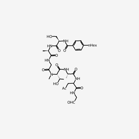 CCCCCCc1ccc(C(=O)N[C@H](CO)C(=O)N[C@H](C)C(=O)NCC(=O)N(C)[C@H](C(=O)N[C@@H](C)C(=O)NC(CC(C)=O)C(=O)NCC=O)C(C)O)cc1